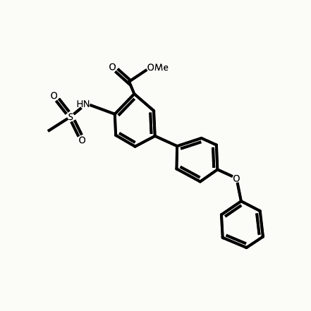 COC(=O)c1cc(-c2ccc(Oc3ccccc3)cc2)ccc1NS(C)(=O)=O